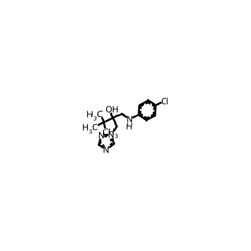 CC(C)(C)C(O)(CNc1ccc(Cl)cc1)Cn1cncn1